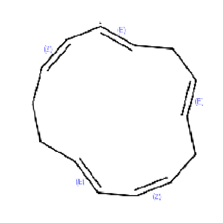 [C]1=C/C/C=C/C/C=C\C=C\CC\C=C/1